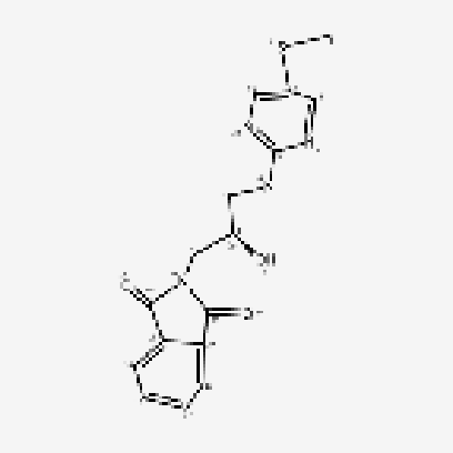 CSc1cnc(NC[C@@H](O)CN2C(=O)c3ccccc3C2=O)nc1